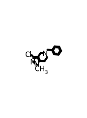 Cn1nc(Cl)c2c1CCN(Cc1ccccc1)C2